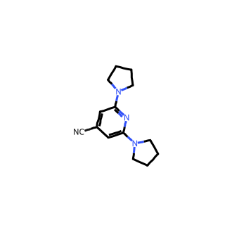 N#Cc1cc(N2CCCC2)nc(N2CCCC2)c1